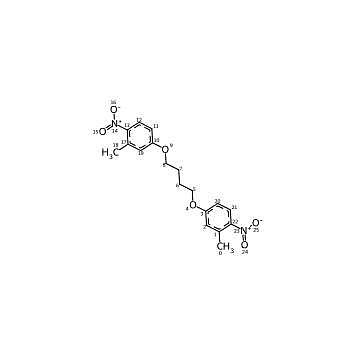 Cc1cc(OCCCCOc2ccc([N+](=O)[O-])c(C)c2)ccc1[N+](=O)[O-]